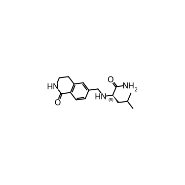 CC(C)C[C@@H](NCc1ccc2c(c1)CCNC2=O)C(N)=O